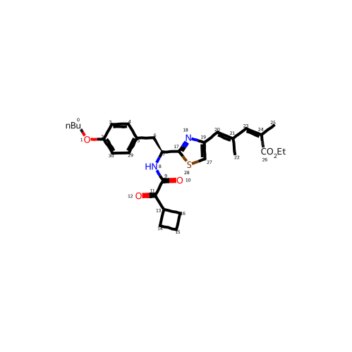 CCCCOc1ccc(C[C@H](NC(=O)C(=O)C2CCC2)c2nc(/C=C(C)/C=C(/C)C(=O)OCC)cs2)cc1